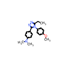 CCc1nnc(-c2ccc(N(C)C)cc2)n1-c1ccc(OC)cc1